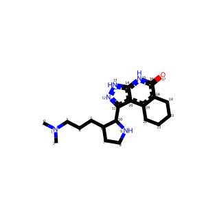 CN(C)CCCC1CCNC1c1n[nH]c2[nH]c(=O)c3c(c12)CCCC3